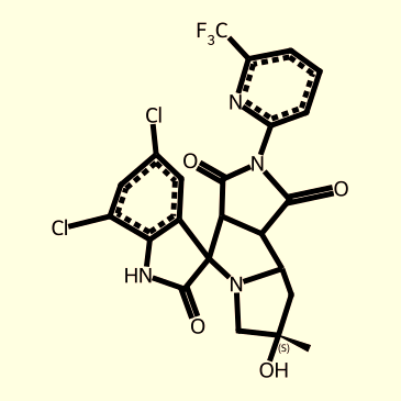 C[C@]1(O)CC2C3C(=O)N(c4cccc(C(F)(F)F)n4)C(=O)C3C3(C(=O)Nc4c(Cl)cc(Cl)cc43)N2C1